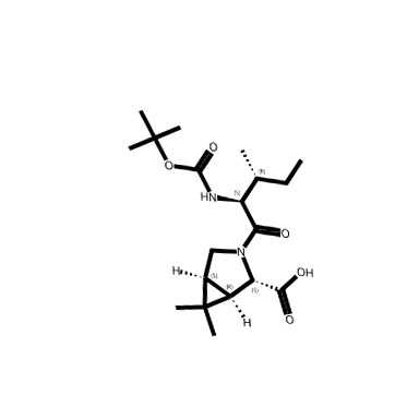 CC[C@@H](C)[C@H](NC(=O)OC(C)(C)C)C(=O)N1C[C@H]2[C@@H]([C@H]1C(=O)O)C2(C)C